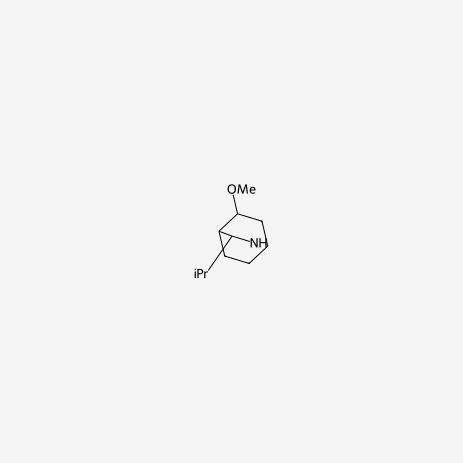 COC1CC2CCC1C(C(C)C)N2